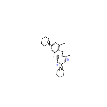 C#C/C=C(\C=C(\C)CCc1c(C)cc(N2CCCCC2)cc1C)N1CCCCC1